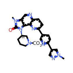 Cn1cc(-c2ccc(-c3ccc4ncc5c(c4n3)n([C@@H]3CCCN(C(=O)O)C3)c(=O)n5C)cn2)cn1